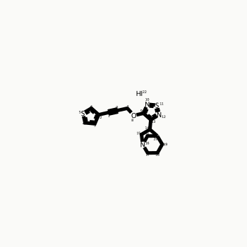 C(#Cc1ccsc1)COc1nsnc1C1CN2CCCC1C2.I